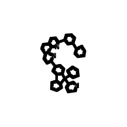 c1ccc(-c2cccc(-c3ccc4ccc5ccc(-c6ccc7c(c6)-c6ccccc6C7(c6ccccc6)c6cccnc6)nc5c4n3)c2)cc1